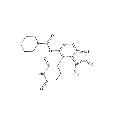 Cn1c(=O)[nH]c2ccc(OC(=O)N3CCCCC3)c(C3CCC(=O)NC3=O)c21